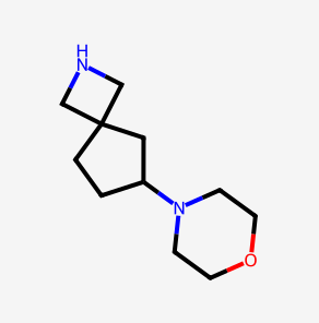 C1CN(C2CCC3(CNC3)C2)CCO1